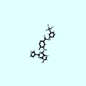 Cc1ccc(C(=O)Nc2cccc(C(F)(F)F)c2)cc1Nc1nc(-c2ccsc2)nc2c1ncn2C